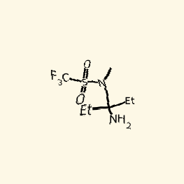 CCC(N)(CC)N(C)S(=O)(=O)C(F)(F)F